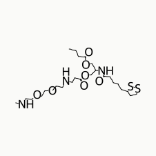 CCCC(=O)OCC(COC(=O)CCNCCOCCOCCNC)NC(=O)CCCCC1CCSS1